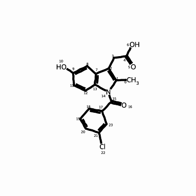 Cc1c(CC(=O)O)c2cc(O)ccc2n1C(=O)c1cccc(Cl)c1